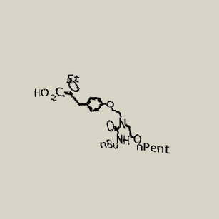 CCCCCOCCN(CCOc1ccc(CC(OCC)C(=O)O)cc1)C(=O)NCCCC